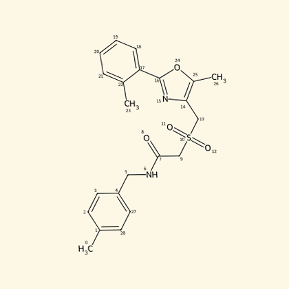 Cc1ccc(CNC(=O)CS(=O)(=O)Cc2nc(-c3ccccc3C)oc2C)cc1